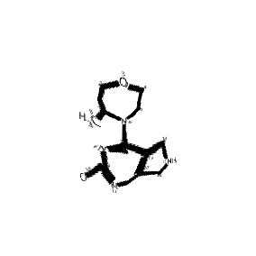 CC1COCCN1c1nc(Cl)nc2c1CNC2